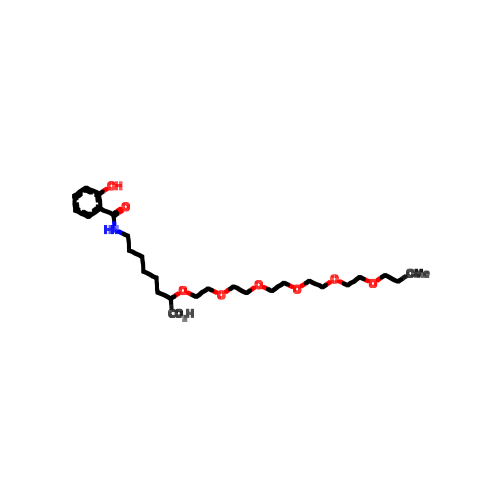 COCCOCCOCCOCCOCCOCCOC(CCCCCCNC(=O)c1ccccc1O)C(=O)O